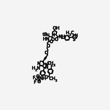 Cc1ncsc1-c1ccc(CNC(=O)[C@@H]2C[C@@H](O)CN2C(=O)C(NC(=O)COCCOCC#Cc2cnc(N)c3c(-c4ccc(NS(=O)(=O)C(F)F)c(OC(C)c5ccc(F)cc5)c4)nn(C)c23)C(C)(C)C)cc1